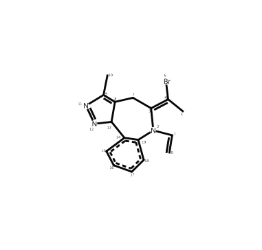 C=CN1/C(=C(\C)Br)CC2=C(C)N=NC2c2ccccc21